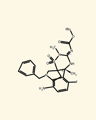 CN1/C(=N\C(=O)OC(C)(C)C)N[C@](C)(c2cc(N)ccc2F)C2(CCN(Cc3ccccc3)C2)S1(=O)=O